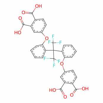 O=C(O)c1ccc(Oc2ccccc2C(c2ccccc2Oc2ccc(C(=O)O)c(C(=O)O)c2)(C(F)(F)F)C(F)(F)F)cc1C(=O)O